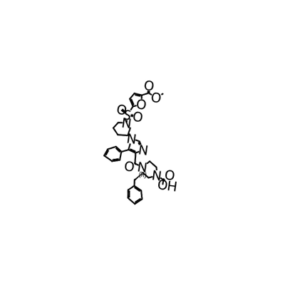 COC(=O)c1ccc(S(=O)(=O)N2CCCC(n3cnc(C(=O)N4CCN(C(=O)O)C[C@H]4Cc4ccccc4)c3-c3ccccc3)C2)o1